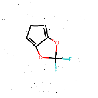 FC1(F)OC2=CCC=C2O1